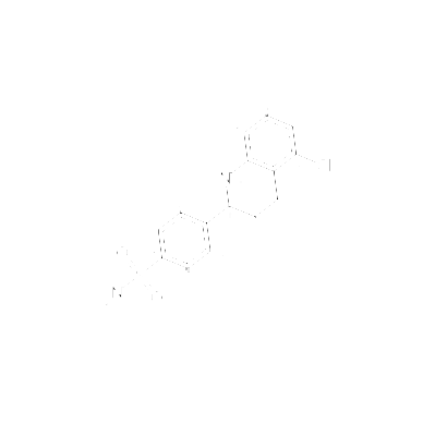 NS(=O)(=O)c1ccc(C2CCc3c(Cl)cccc3N2)cc1